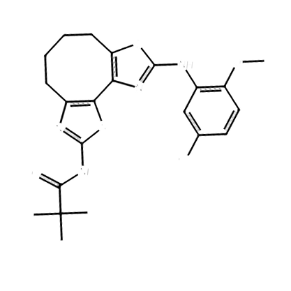 COc1ccc(Cl)cc1Nc1nc2c(s1)CCCCc1nc(NC(=O)C(C)(C)C)sc1-2